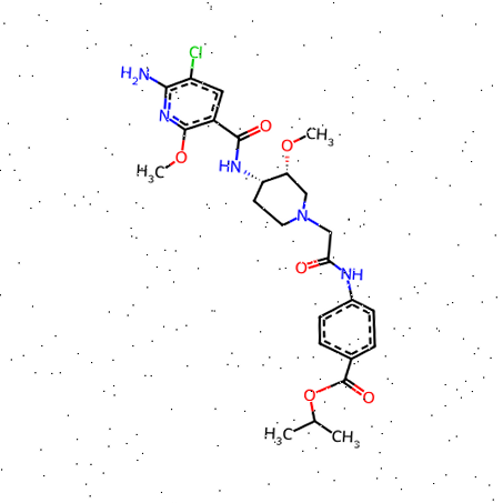 COc1nc(N)c(Cl)cc1C(=O)N[C@H]1CCN(CC(=O)Nc2ccc(C(=O)OC(C)C)cc2)C[C@H]1OC